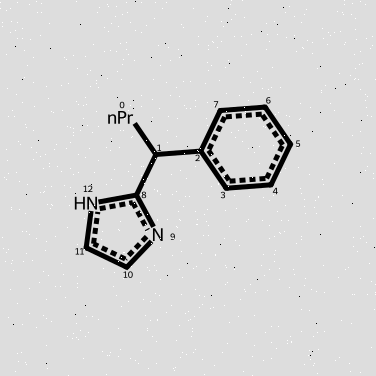 CCCC(c1ccccc1)c1ncc[nH]1